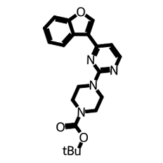 CC(C)(C)OC(=O)N1CCN(c2nccc(-c3coc4ccccc34)n2)CC1